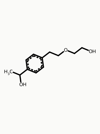 CC(O)c1ccc(CCOCCO)cc1